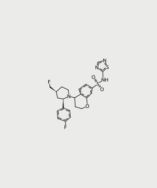 O=S(=O)(Nc1ncns1)c1ccc2c(c1)OCCC2N1CC[C@H](CF)C[C@@H]1c1ccc(F)cc1